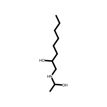 CCCCCCC(O)CNC(C)O